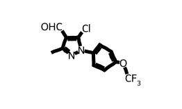 Cc1nn(-c2ccc(OC(F)(F)F)cc2)c(Cl)c1C=O